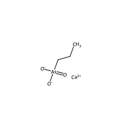 CCC[As](=O)([O-])[O-].[Ca+2]